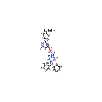 COc1ccc(-c2nc(C)cc(OCCN3CCN(C(c4ccccc4)c4ccccc4)CC3)n2)cc1